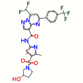 Cc1nc(NC(=O)c2cnn3c(C(F)F)cc(-c4ccc(C(F)(F)F)cc4)nc23)sc1S(=O)(=O)N1CCC(O)C1